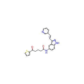 O=C(CCCC(=O)c1cccs1)Nc1ccc2[nH]nc(/C=C/c3cccnc3)c2c1